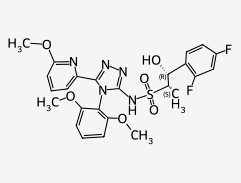 COc1cccc(-c2nnc(NS(=O)(=O)[C@@H](C)[C@H](O)c3ccc(F)cc3F)n2-c2c(OC)cccc2OC)n1